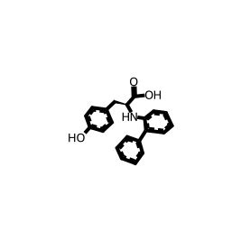 O=C(O)[C@H](Cc1ccc(O)cc1)Nc1ccccc1-c1ccccc1